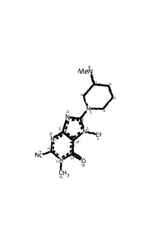 CCn1c(N2CCCC(NC)C2)nc2nc(C#N)n(C)c(=O)c21